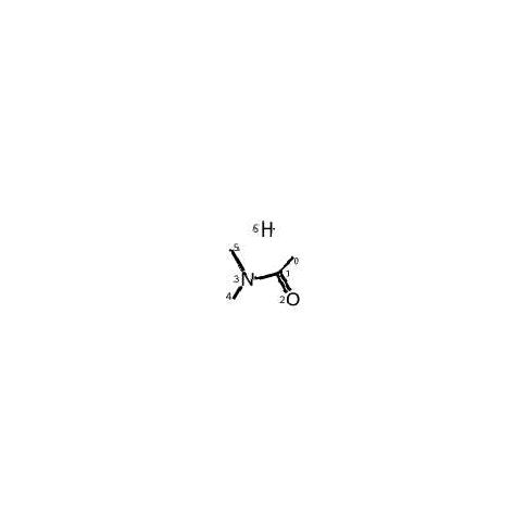 CC(=O)N(C)C.[H]